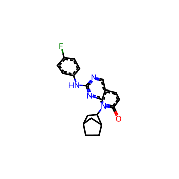 O=c1ccc2cnc(Nc3ccc(F)cc3)nc2n1C1CC2CCC1C2